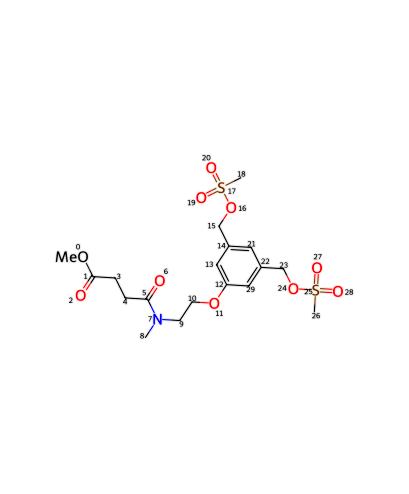 COC(=O)CCC(=O)N(C)CCOc1cc(COS(C)(=O)=O)cc(COS(C)(=O)=O)c1